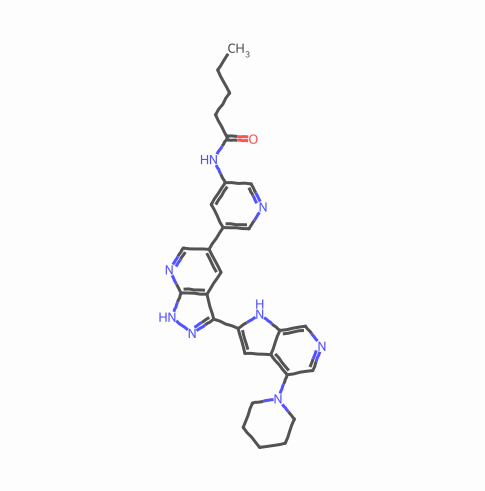 CCCCC(=O)Nc1cncc(-c2cnc3[nH]nc(-c4cc5c(N6CCCCC6)cncc5[nH]4)c3c2)c1